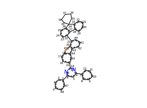 c1ccc(-c2cc(-c3ccccc3)nc(-c3ccc4sc5c(-c6cccc7c6-c6ccccc6C76CCCCC6)cccc5c4c3)n2)cc1